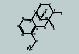 CN1CC[C@]23CCCC[C@H]2[C@H]1Cc1c(CC(F)(F)F)cccc13